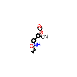 N#Cc1cc(-c2cccc(NC(=O)C3CC34CC4)c2)ccc1OC1CCOCC1